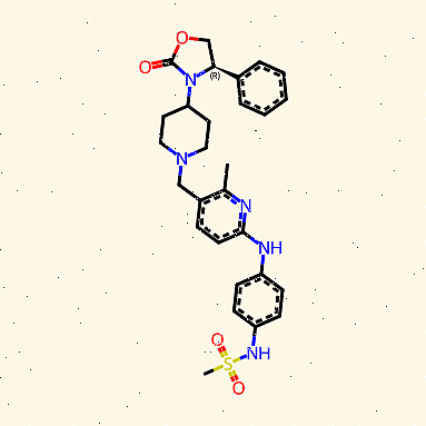 Cc1nc(Nc2ccc(NS(C)(=O)=O)cc2)ccc1CN1CCC(N2C(=O)OC[C@H]2c2ccccc2)CC1